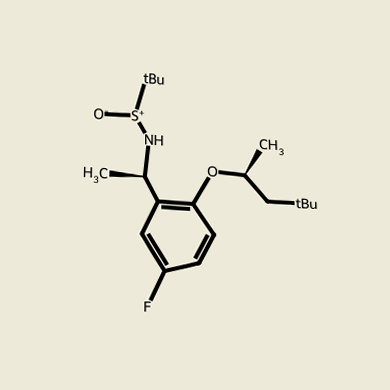 C[C@@H](CC(C)(C)C)Oc1ccc(F)cc1[C@@H](C)N[S+]([O-])C(C)(C)C